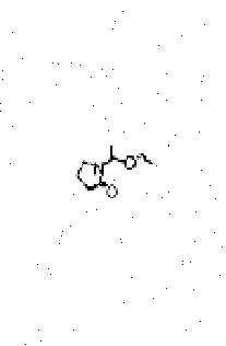 CCOC(C)N1CCCC1=O